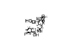 CC(C)(CN1CCC(C)(NS(C)(=O)=O)CC1)NC[C@H](O)c1cccc(F)c1.Cl.Cl